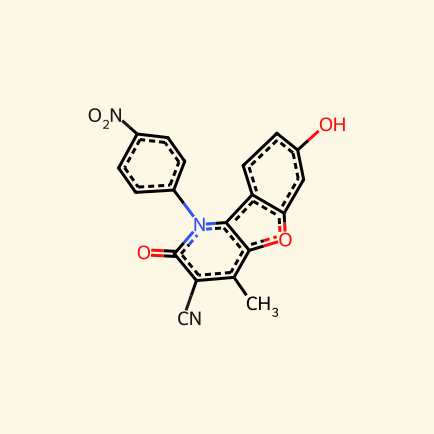 Cc1c(C#N)c(=O)n(-c2ccc([N+](=O)[O-])cc2)c2c1oc1cc(O)ccc12